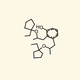 CCC1(OC(C)Cc2cccc(O)c2CC(C)OC2(CC)CCCC2)CCCC1